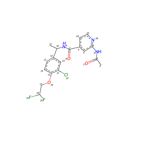 CC(=O)Nc1cc(C(=O)NC(C)c2ccc(OCC(F)F)c(Cl)c2)ccn1